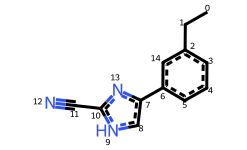 CCc1cccc(-c2c[nH]c(C#N)n2)c1